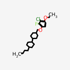 C=CCCC1CCC(C2CCC(COc3ccc(OCC)c(Cl)c3F)CC2)CC1